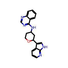 c1ccc2c(NC3CCOC(c4c[nH]c5ncccc45)C3)ncnc2c1